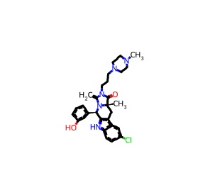 C=C1N(CCCN2CCN(C)CC2)C(=O)[C@]2(C)Cc3c([nH]c4ccc(Cl)cc34)[C@@H](c3cccc(O)c3)N12